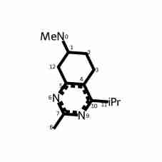 CNC1CCc2c(nc(C)nc2C(C)C)C1